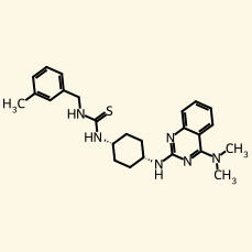 Cc1cccc(CNC(=S)N[C@H]2CC[C@@H](Nc3nc(N(C)C)c4ccccc4n3)CC2)c1